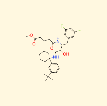 COC(=O)CCCC(=O)NC(Cc1cc(F)cc(F)c1)C(O)CNC1(c2cccc(C(C)(C)C)c2)CCCCC1